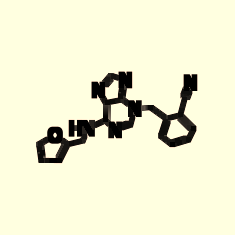 N#Cc1ccccc1Cn1cnc(NCc2ccco2)c2ncnc1-2